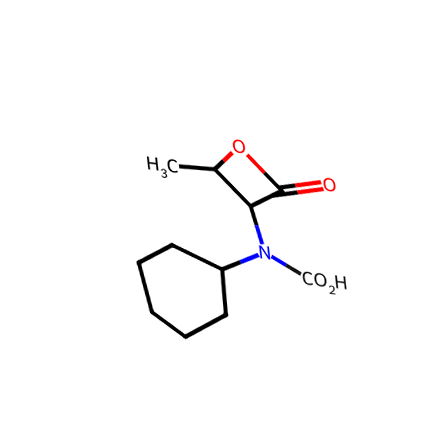 CC1OC(=O)C1N(C(=O)O)C1CCCCC1